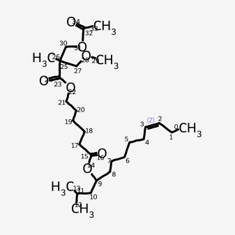 CC/C=C\CCCCCC(CC(C)C)OC(=O)CCCCCOC(=O)C(C)(COC)COC(C)=O